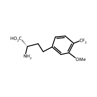 COc1cc(CC[C@H](N)C(=O)O)ccc1C(F)(F)F